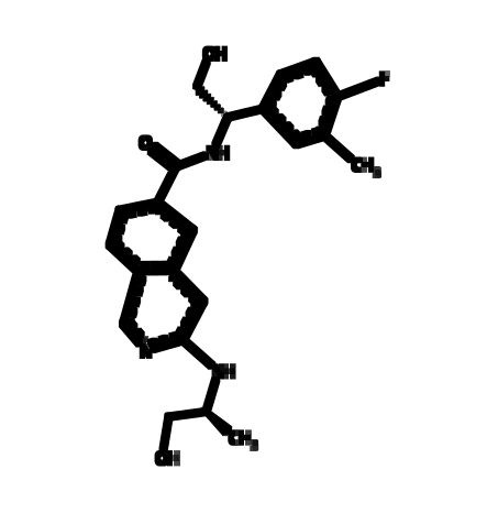 Cc1cc([C@@H](CO)NC(=O)c2ccc3cnc(N[C@@H](C)CO)cc3c2)ccc1F